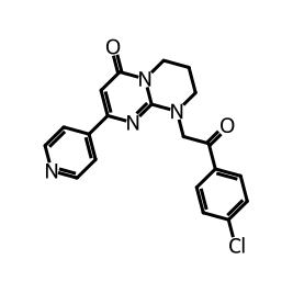 O=C(CN1CCCn2c1nc(-c1ccncc1)cc2=O)c1ccc(Cl)cc1